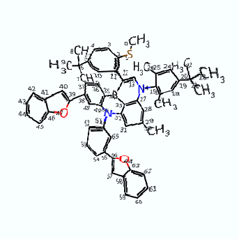 CSc1ccc(C(C)(C)C)cc1C1=CN(c2c(C)cc(C(C)(C)C)cc2C)c2cc(C)cc3c2B1c1ccc(-c2cc4ccccc4o2)cc1N3c1cccc(-c2cc3ccccc3o2)c1